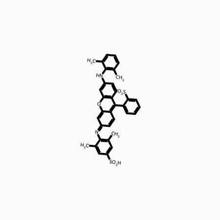 Cc1cc(S(=O)(=O)O)cc(C)c1/N=c1\ccc2c(-c3ccccc3S(=O)(=O)O)c3ccc(Nc4c(C)cccc4C)cc3oc-2c1